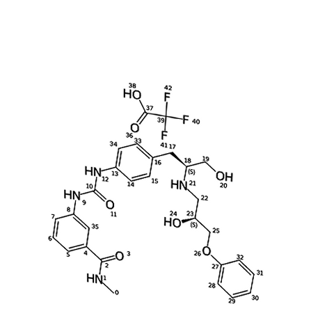 CNC(=O)c1cccc(NC(=O)Nc2ccc(C[C@@H](CO)NC[C@H](O)COc3ccccc3)cc2)c1.O=C(O)C(F)(F)F